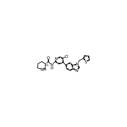 O=C(Nc1cc(-c2ccc3ncn(Cc4cccs4)c3c2)c(Cl)cn1)[C@@H]1CCCNC1